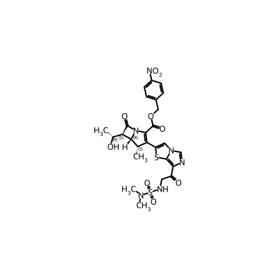 C[C@@H](O)[C@H]1C(=O)N2C(C(=O)OCc3ccc([N+](=O)[O-])cc3)=C(c3cn4cnc(C(=O)CNS(=O)(=O)N(C)C)c4s3)[C@H](C)[C@H]12